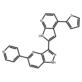 c1csc(-c2ccnc3[nH]c(-c4n[nH]c5ccc(-c6ccncc6)nc45)cc23)c1